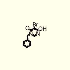 O=c1c(Br)c(O)ncn1Cc1ccccc1